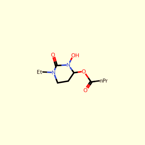 CCCC(=O)OC1CCN(CC)C(=O)N1O